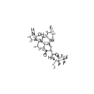 CCC(NC(=O)c1cn(-c2ncc(F)cc2F)c2nc(N3CCNC3O)ccc2c1=O)C(F)(F)C(F)(F)F